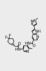 Cc1ncc(NC(=O)CN2CCC(F)(F)CC2)cc1NC(=O)c1cnc2[nH]c(-c3cnn(C)c3)cc2c1